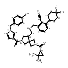 CC1(C)C[C@@H]1C(=O)N1CC2(CN(C(=O)c3cnn(Cc4ccc(F)cc4)c3)C[C@H]2COCc2cccc(C3CCC(F)(F)CC3)c2C#N)C1